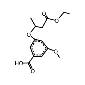 CCOC(=O)CC(C)Oc1cc(OC)cc(C(=O)O)c1